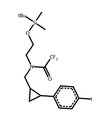 CC(C)(C)[Si](C)(C)OCCN(CC1CC1c1ccc(I)cc1)C(=O)C(F)(F)F